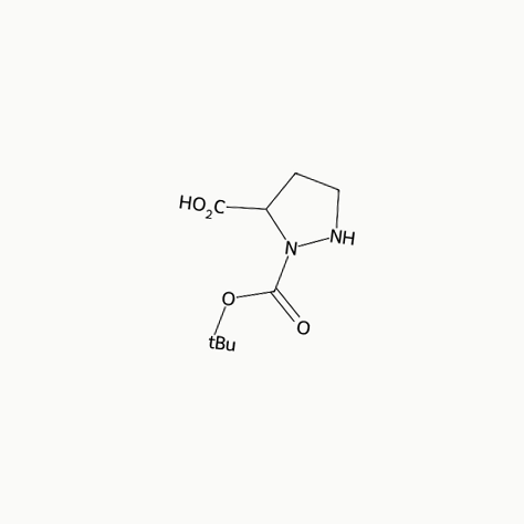 CC(C)(C)OC(=O)N1NCCC1C(=O)O